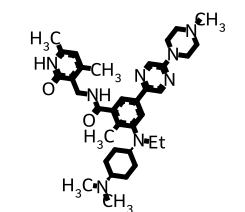 CCN(c1cc(-c2cnc(N3CCN(C)CC3)cn2)cc(C(=O)NCc2c(C)cc(C)[nH]c2=O)c1C)[C@H]1CC[C@H](N(C)C)CC1